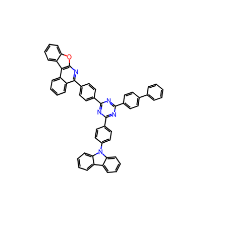 c1ccc(-c2ccc(-c3nc(-c4ccc(-c5nc6oc7ccccc7c6c6ccccc56)cc4)nc(-c4ccc(-n5c6ccccc6c6ccccc65)cc4)n3)cc2)cc1